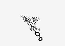 CS(=O)(=O)OCCC[C@H](NC(=O)c1ccc(-c2ccccc2)cc1)C(=O)N1CCN(S(C)(=O)=O)CC1